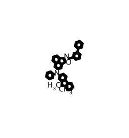 CC1(C)c2ccccc2-c2ccc(N(c3ccccc3)c3cc4c5c(cccc5c3)-c3nc(-c5cccc(-c6ccccc6)c5)oc3-4)cc21